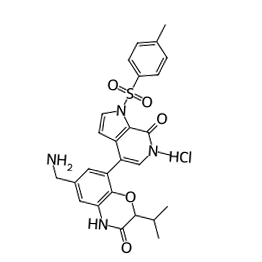 Cc1ccc(S(=O)(=O)n2ccc3c(-c4cc(CN)cc5c4OC(C(C)C)C(=O)N5)cn(C)c(=O)c32)cc1.Cl